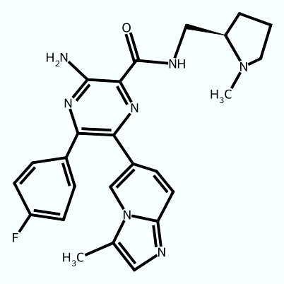 Cc1cnc2ccc(-c3nc(C(=O)NC[C@H]4CCCN4C)c(N)nc3-c3ccc(F)cc3)cn12